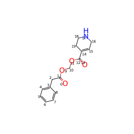 O=C(Cc1ccccc1)OCOC(=O)C1=CCNCC1